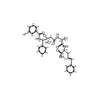 CC[C@H](NC(=O)CP(=O)(O)C(NC(=O)c1cccc(F)c1)c1ccccc1)C(=O)N[C@@H](C/C=C/c1ccccc1)C(N)=O